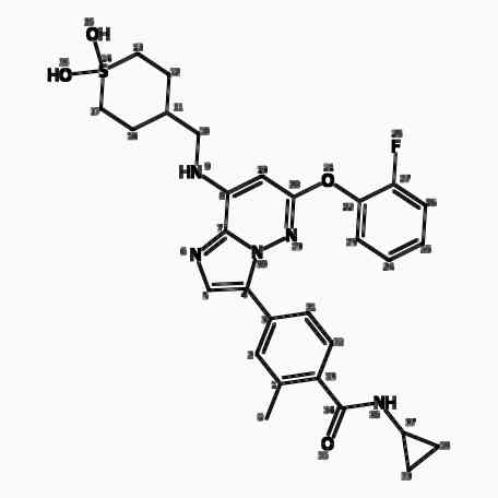 Cc1cc(-c2cnc3c(NCC4CCS(O)(O)CC4)cc(Oc4ccccc4F)nn23)ccc1C(=O)NC1CC1